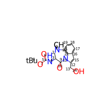 CN1C[C@H](NC(=O)OC(C)(C)C)C(=O)n2c(CO)cc3cccc1c32